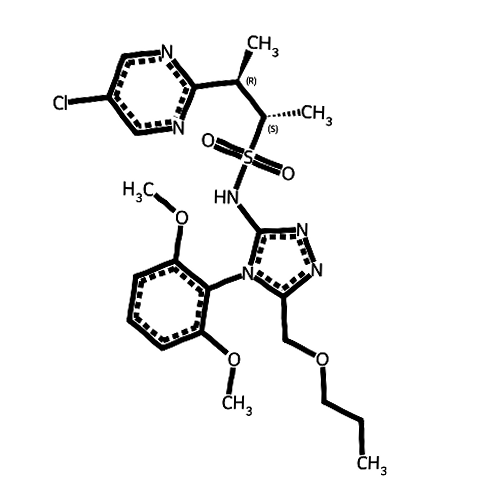 CCCOCc1nnc(NS(=O)(=O)[C@@H](C)[C@H](C)c2ncc(Cl)cn2)n1-c1c(OC)cccc1OC